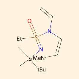 C=CN(/C=C\NC)S(=O)(CC)=N[Si](C)(C)C(C)(C)C